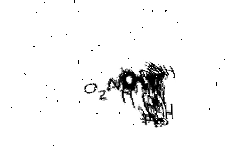 CC1=CN=N[N+]1(CCc1ccc([N+](=O)[O-])cc1)C(=O)N1CCNCC1.O=C(O)C(F)(F)F